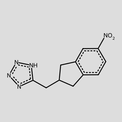 O=[N+]([O-])c1ccc2c(c1)CC(Cc1nnn[nH]1)C2